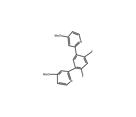 COc1ccnc(-c2cc(-c3cc(OC)ccn3)c(F)cc2F)c1